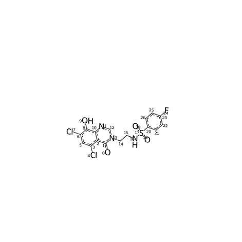 O=c1c2c(Cl)cc(Cl)c(O)c2ncn1CCNS(=O)(=O)c1ccc(F)cc1